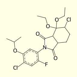 CCOC1(OCC)C(Cl)CCC2C(=O)N(c3cc(OC(C)C)c(Cl)cc3F)C(=O)C21